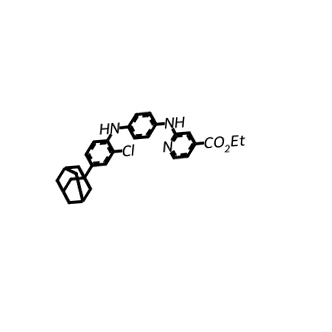 CCOC(=O)c1ccnc(Nc2ccc(Nc3ccc(C45CC6CC(CC(C6)C4)C5)cc3Cl)cc2)c1